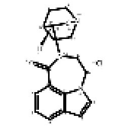 Cl.O=C1c2cccc3ccn(c23)CCN1[C@H]1CN2CCC1CC2